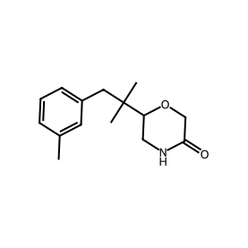 Cc1cccc(CC(C)(C)C2CNC(=O)CO2)c1